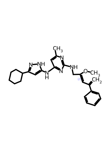 C=C(/C=C(/CNc1nc(C)cc(Nc2cc(C3CCCCC3)n[nH]2)n1)OC)c1ccccc1